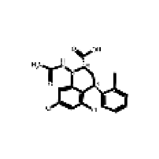 Cc1ccccc1[C@@H]1C[C@@H](C(=O)O)N(NC(N)=O)c2cc(Cl)cc(Cl)c21